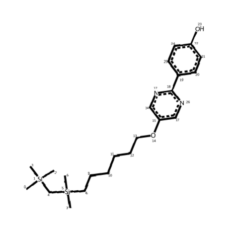 C[Si](C)(C)C[Si](C)(C)CCCCCCOc1cnc(-c2ccc(O)cc2)nc1